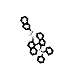 c1ccc(P(Oc2ccc3ccccc3c2-c2c(OPOc3ccc4ccccc4c3)ccc3ccccc23)c2ccccc2)cc1